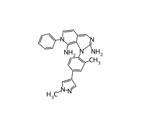 Cc1cc(-c2cnn(C)c2)ccc1N1C(N)=NC=C2C=CN(c3ccccc3)C(N)=C21